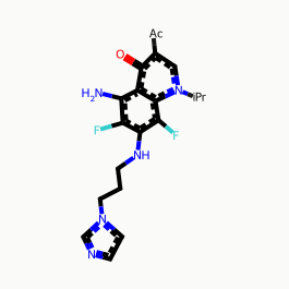 CC(=O)c1cn(C(C)C)c2c(F)c(NCCCn3ccnc3)c(F)c(N)c2c1=O